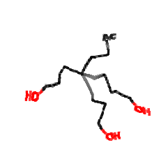 CC(=O)CCC(CCCO)(CCCO)CCCO